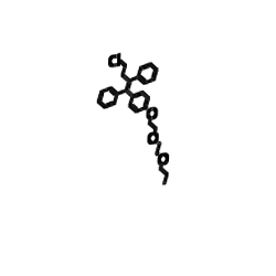 CCCOCCOCCOc1ccc(/C(=C(/CCCl)c2ccccc2)c2ccccc2)cc1